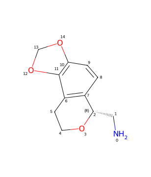 NC[C@@H]1OCCc2c1ccc1c2OCO1